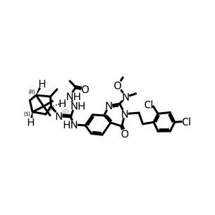 CON(C)c1nc2cc(N/C(=N/[C@H]3C[C@@H]4C[C@H](C3C)C4(C)C)NNC(C)=O)ccc2c(=O)n1CCc1ccc(Cl)cc1Cl